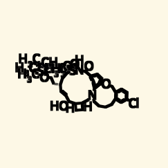 C[C@@H]1C[C@@H](CCO[Si](C)(C)C(C)(C)C)/C=C/[C@H](O)[C@@H]2CC[C@H]2CN2CCCCc3cc(Cl)ccc3COc3ccc(cc32)C(=O)NS1(=O)=O